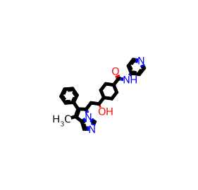 CC1=C(c2ccccc2)C(C[C@H](O)C2CCC(C(=O)Nc3ccncc3)CC2)n2cncc21